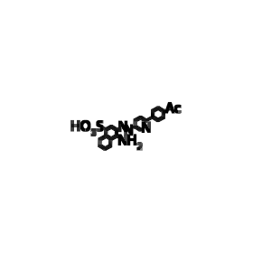 CC(=O)c1ccc(-c2ccc(N=Nc3cc(S(=O)(=O)O)c4ccccc4c3N)cn2)cc1